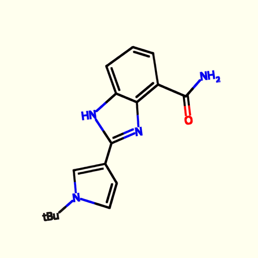 CC(C)(C)n1ccc(-c2nc3c(C(N)=O)cccc3[nH]2)c1